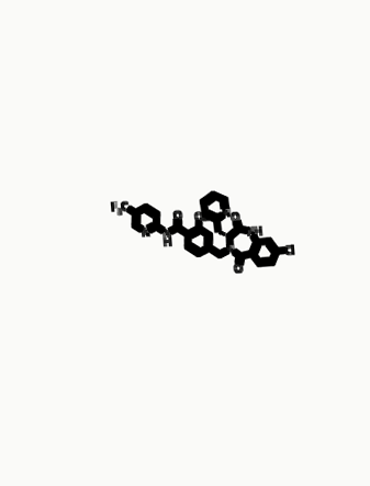 COc1cc(CN2C(=O)c3ccc(Cl)cc3NC(=O)[C@H]2Cc2ccccn2)ccc1C(=O)Nc1ccc(C(F)(F)F)cn1